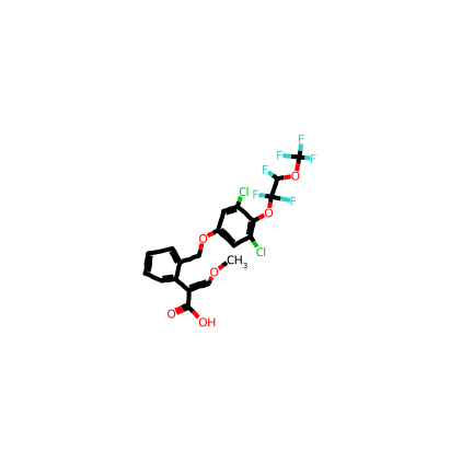 CO/C=C(/C(=O)O)c1ccccc1COc1cc(Cl)c(OC(F)(F)C(F)OC(F)(F)F)c(Cl)c1